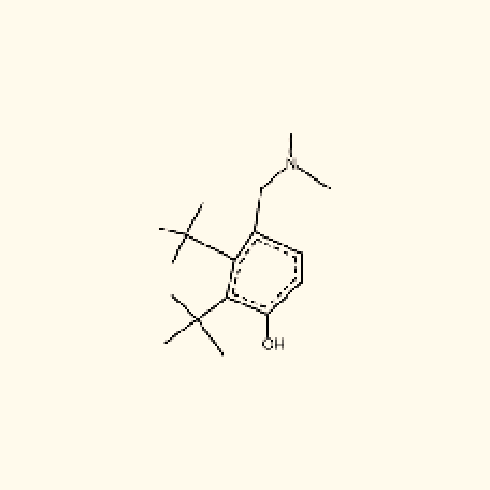 CN(C)Cc1ccc(O)c(C(C)(C)C)c1C(C)(C)C